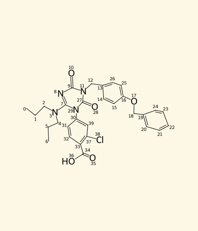 CCCN(CCC)c1nc(=O)n(Cc2ccc(OCc3ccccc3)cc2)c(=O)n1-c1ccc(C(=O)O)c(Cl)c1